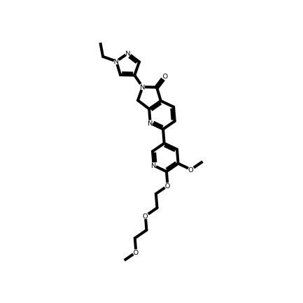 CCn1cc(N2Cc3nc(-c4cnc(OCCOCCOC)c(OC)c4)ccc3C2=O)cn1